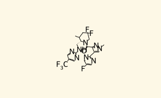 CC1CC(F)(F)CN(C(=O)c2nn(C)cc2-c2ncc(F)cn2)[C@@H]1CNc1ncc(C(F)(F)F)cn1